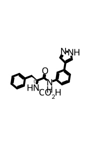 O=C(O)N[C@@H](Cc1ccccc1)C(=O)Nc1cccc(-c2cn[nH]c2)c1